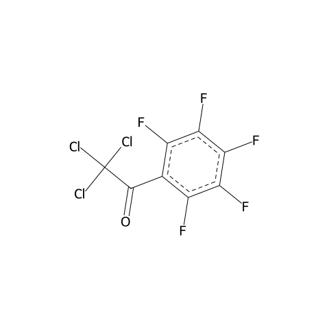 O=C(c1c(F)c(F)c(F)c(F)c1F)C(Cl)(Cl)Cl